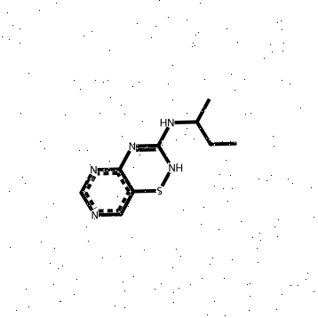 CCC(C)NC1=Nc2ncncc2SN1